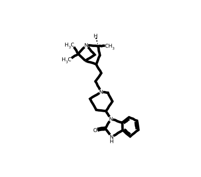 C[C@H]1CC(CCN2CCC(n3c(=O)[nH]c4ccccc43)CC2)C2CN1C2(C)C